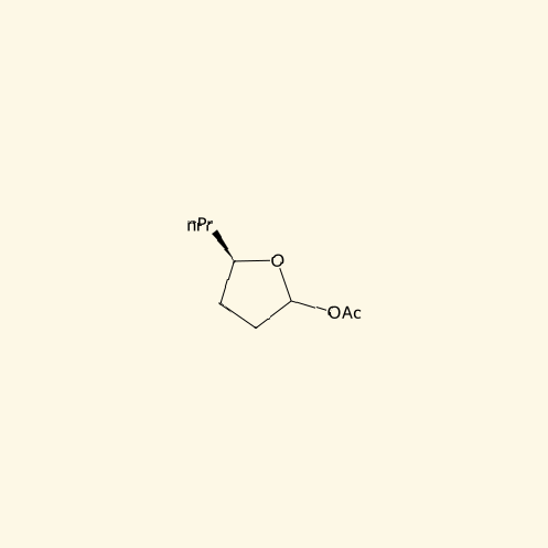 CCC[C@@H]1CCC(OC(C)=O)O1